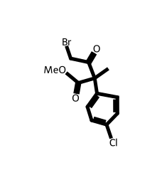 COC(=O)C(C)(C(=O)CBr)c1ccc(Cl)cc1